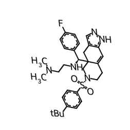 CN(C)CCN[C@@H](c1ccc(F)cc1)C12Cc3cn[nH]c3C=C1CCN(S(=O)(=O)c1ccc(C(C)(C)C)cc1)C2